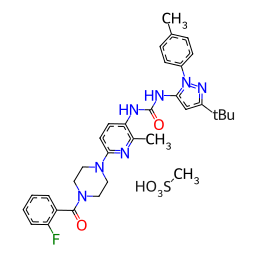 CS(=O)(=O)O.Cc1ccc(-n2nc(C(C)(C)C)cc2NC(=O)Nc2ccc(N3CCN(C(=O)c4ccccc4F)CC3)nc2C)cc1